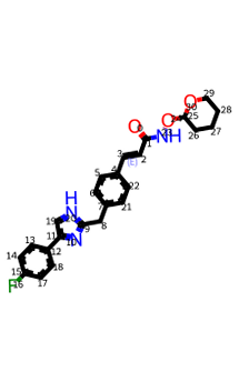 O=C(/C=C/c1ccc(Cc2nc(-c3ccc(F)cc3)c[nH]2)cc1)NOC1CCCCO1